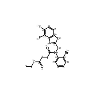 CCOC(=O)CCC(=O)N(Cc1nc2c(F)c(F)ccc2s1)c1ccccc1Br